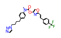 CN(C(=O)Oc1coc(C=Cc2ccc(C(F)(F)F)cc2)n1)c1ccc(CCCCn2ccnn2)cc1